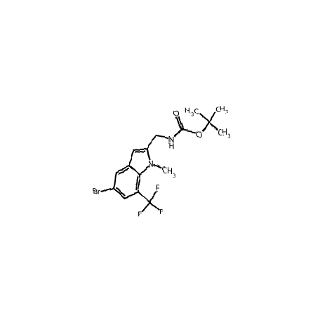 Cn1c(CNC(=O)OC(C)(C)C)cc2cc(Br)cc(C(F)(F)F)c21